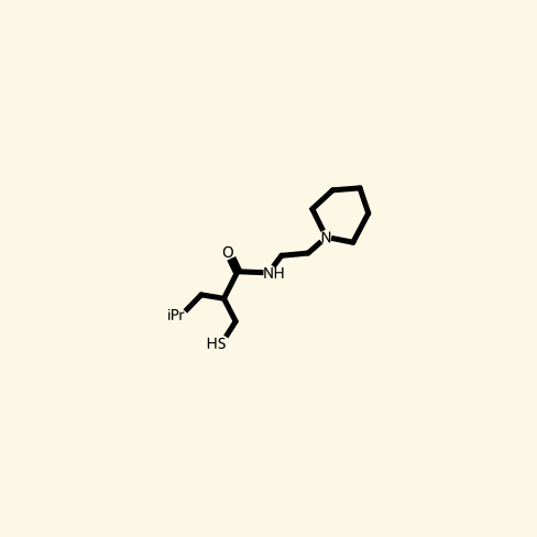 CC(C)CC(CS)C(=O)NCCN1CCCCC1